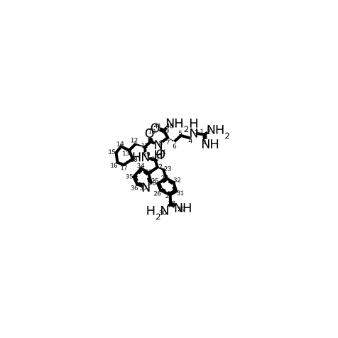 N=C(N)NCCC[C@H](NC(=O)[C@H](CC1CCCCC1)NC(=O)[C@@H](Cc1ccc(C(=N)N)cc1)c1cccnc1)C(N)=O